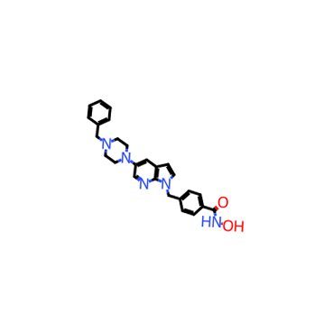 O=C(NO)c1ccc(Cn2ccc3cc(N4CCN(Cc5ccccc5)CC4)cnc32)cc1